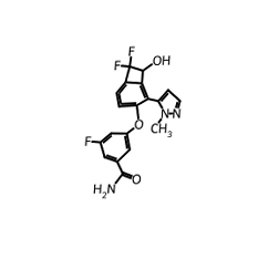 Cn1nccc1C1=C2C(=C=C=C1Oc1cc(F)cc(C(N)=O)c1)C(F)(F)C2O